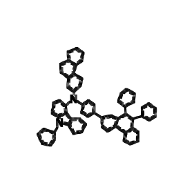 c1ccc(-c2c(-c3ccccc3)c3cc(-c4ccc(N(c5ccc6c(ccc7ccccc76)c5)c5cccc6c5c5ccccc5n6-c5ccccc5)cc4)ccc3c3ccccc23)cc1